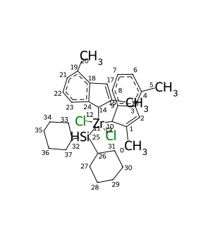 CC1=Cc2c(C)cccc2[CH]1[Zr]([Cl])([Cl])([CH]1C(C)=Cc2c(C)cccc21)[SiH](C1CCCCC1)C1CCCCC1